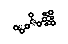 c1ccc(-c2cc(-c3ccc(-c4cccc5c4oc4ccccc45)cc3)nc(-c3cccc(-c4ccc5c(c4)C4(c6ccccc6-c6ccccc64)c4ccccc4C54c5ccccc5-c5ccccc54)c3)n2)cc1